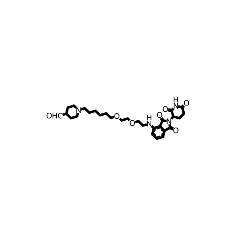 O=CC1CCN(CCCCCCOCCOCCNc2cccc3c2C(=O)N(C2CCC(=O)NC2=O)C3=O)CC1